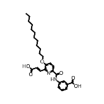 CCCCCCCCCCCCOc1ccc(C(=O)Nc2cccc(C(=O)O)c2)nc1C=CC(=O)O